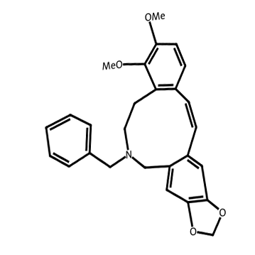 COc1ccc2c(c1OC)CCN(Cc1ccccc1)Cc1cc3c(cc1C=C2)OCO3